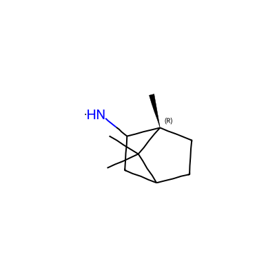 CC1(C)C2CC[C@@]1(C)C([NH])C2